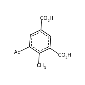 CC(=O)c1cc(C(=O)O)cc(C(=O)O)c1C